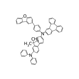 CC1(C)c2cc(N(c3ccccc3)c3ccccc3)ccc2-c2ccc(N(c3ccc(-c4ccc5oc6ccccc6c5c4)cc3)c3ccc4c5ccccc5c5ccccc5c4c3)cc21